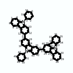 c1ccc(-n2c3ccccc3c3cc(-c4ccc5c(c4)c4cc(-c6cc7c8ccccc8n8c9ccccc9c(c6)c78)ccc4n5-c4ccccc4)ccc32)cc1